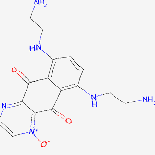 NCCNc1ccc(NCCN)c2c1C(=O)c1ncc[n+]([O-])c1C2=O